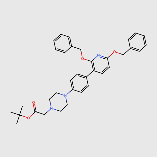 CC(C)(C)OC(=O)CN1CCN(c2ccc(-c3ccc(OCc4ccccc4)nc3OCc3ccccc3)cc2)CC1